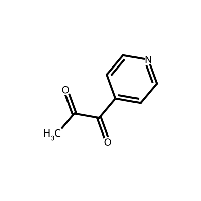 CC(=O)C(=O)c1ccncc1